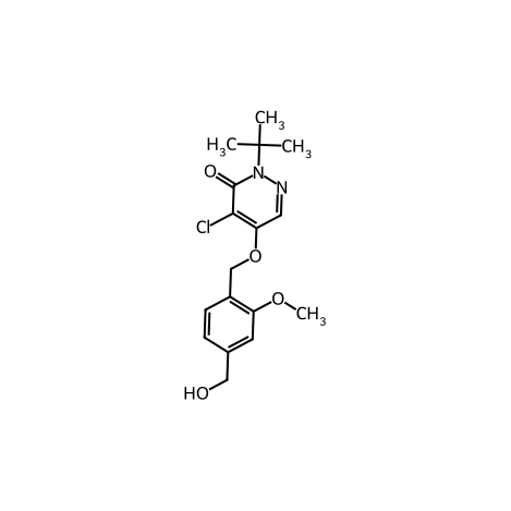 COc1cc(CO)ccc1COc1cnn(C(C)(C)C)c(=O)c1Cl